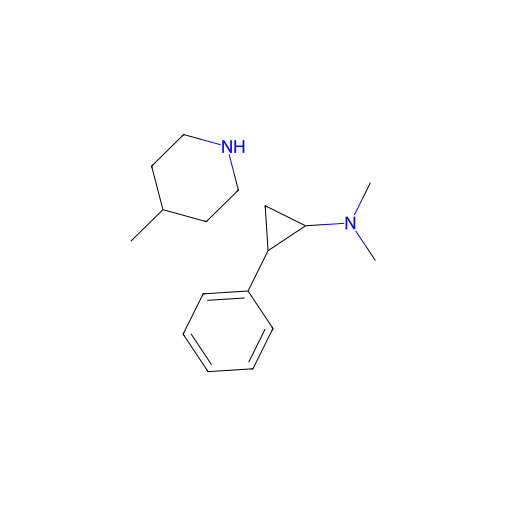 CC1CCNCC1.CN(C)C1CC1c1ccccc1